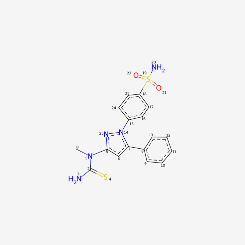 CN(C(N)=S)c1cc(-c2ccccc2)n(-c2ccc(S(N)(=O)=O)cc2)n1